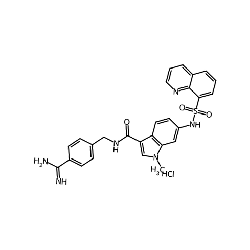 Cl.Cn1cc(C(=O)NCc2ccc(C(=N)N)cc2)c2ccc(NS(=O)(=O)c3cccc4cccnc34)cc21